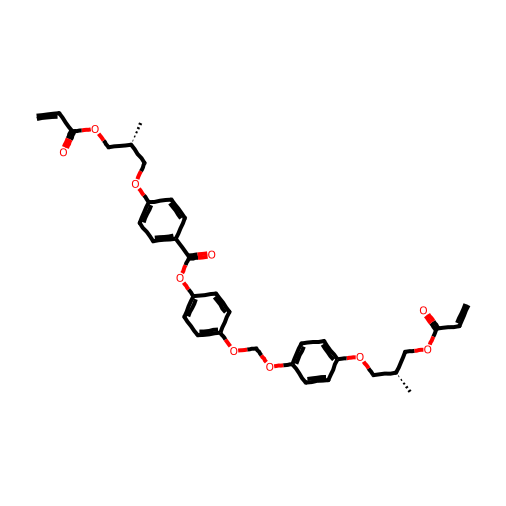 C=CC(=O)OC[C@H](C)COc1ccc(OCOc2ccc(OC(=O)c3ccc(OC[C@@H](C)COC(=O)C=C)cc3)cc2)cc1